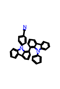 N#Cc1ccc(-n2c3ccccc3c3cccc(-c4cccc5c6ccccc6n(-c6ccccc6)c45)c32)cc1